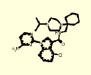 CC(C)N1CCN(C2(CNC(=O)c3cn(-c4nccc(N)n4)c4cccc(Cl)c34)CCCCC2)CC1